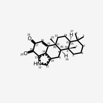 CC1(C)CCC[C@]2(C)[C@H]3Cc4c[nH]c5c4C(=CC(=O)C5=O)[C@]3(C)CC[C@@H]12